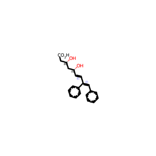 O=C(O)C[C@H](O)C[C@H](O)/C=C/C(=C/c1ccccc1)c1ccccc1